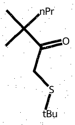 CCCC(C)(C)C(=O)CSC(C)(C)C